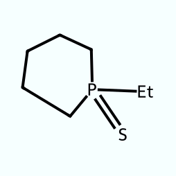 CCP1(=S)CCCCC1